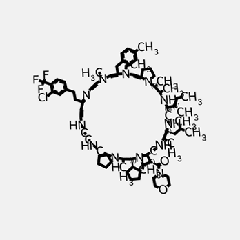 CC[C@H](C)[C@H]1CN[C@@H](CC(C)C)C(C)NCC2[C@@H](C(=O)N3CCOCC3)C(C)N2[C@@H](C2CCCC2)C(C)NC2(CCCC2)CNCCNC=CC(CCc2ccc(C(F)(F)F)c(Cl)c2)=NC=CN(C)C=C(Cc2ccc(C)cc2)N(CC)C=C2CCCN2[C@@H](C)C(C)N1